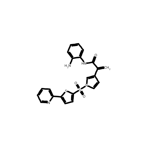 C=C(C(=O)Nc1ccccc1N)c1ccn(S(=O)(=O)c2ccc(-c3ccccn3)s2)c1